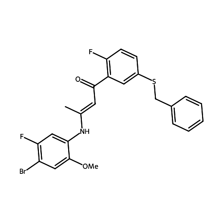 COc1cc(Br)c(F)cc1N/C(C)=C/C(=O)c1cc(SCc2ccccc2)ccc1F